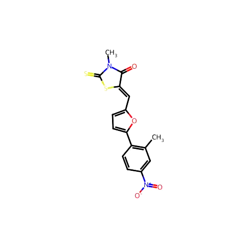 Cc1cc([N+](=O)[O-])ccc1-c1ccc(/C=C2\SC(=S)N(C)C2=O)o1